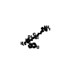 Cc1nn(C)c(-n2ccc3cc(Cl)ccc32)c1CCNC(=O)CCCCCS(N)(=O)=O